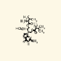 CC(C)[C@H](N)C(=O)OCCC(COC(=O)[C@@H](N)C(C)C)n1cnc2c(=O)[nH]c(N)nc21.Cl.Cl